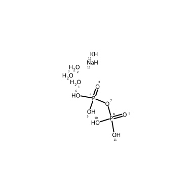 O.O.O.O=P(O)(O)OP(=O)(O)O.[KH].[NaH]